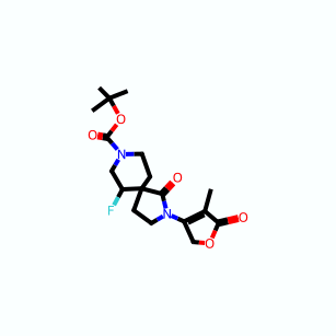 CC1=C(N2CCC3(CCN(C(=O)OC(C)(C)C)CC3F)C2=O)COC1=O